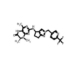 Cc1nc(NC2CCc3nn(Cc4ccc(C(F)(F)F)nc4)cc32)nc2c1NC(=O)[C@H](C)N2C